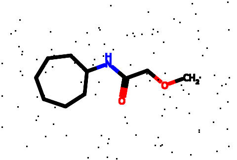 [CH2]OCC(=O)NC1CCCCCC1